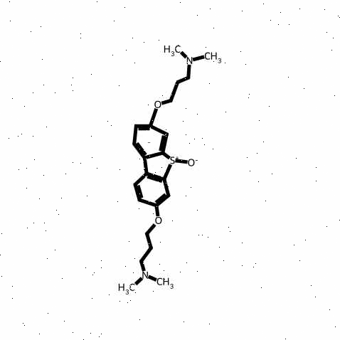 CN(C)CCCOc1ccc2c3ccc(OCCCN(C)C)cc3[s+]([O-])c2c1